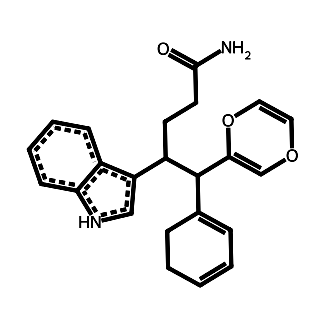 NC(=O)CCC(c1c[nH]c2ccccc12)C(C1=CC=CCC1)C1=COC=CO1